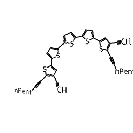 C#Cc1cc(-c2ccc(-c3ccc(-c4ccc(-c5cc(C#C)c(C#CCCCCC)s5)s4)s3)s2)sc1C#CCCCCC